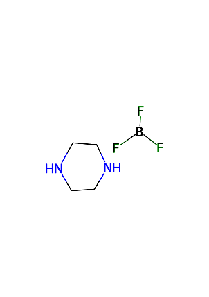 C1CNCCN1.FB(F)F